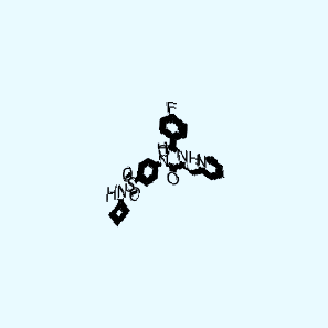 O=C(N[C@@H](Cc1ccccn1)C(=O)Nc1ccc(S(=O)(=O)NC2CCC2)cc1)c1ccc(F)cc1